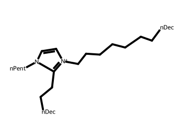 CCCCCCCCCCCCCCCCC[n+]1ccn(CCCCC)c1CCCCCCCCCCCC